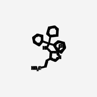 Cn1ncc(C=CC(=O)O)c1NC(c1ccccc1)(c1ccccc1)c1ccccc1